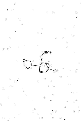 CNCc1nc(C(C)C)ccc1C1CCOC1